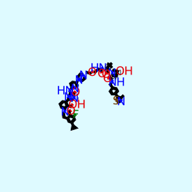 Cc1ncsc1-c1ccc(CNC(=O)[C@@H]2C[C@@H](O)CN2C(=O)[C@@H](NC(=O)CCOCCN2CCN(c3ccc(Nc4nc(-c5cccc(-n6ccc7cc(C8CC8)cc(F)c7c6=O)c5CO)cn(C)c4=O)nc3)CC2)C(C)(C)C)cc1